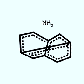 N.c1cc2cc3ccc2cc13